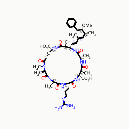 C=C1C(=O)N[C@H](C)C(=O)N[C@@H](CCCN=C(N)N)C(=O)N[C@@H](C(=O)O)[C@H](C)C(=O)N[C@@H](C)C(=O)N[C@@H](/C=C/C(C)=C/[C@H](C)[C@H](Cc2ccccc2)OC)[C@H](C)C(=O)N[C@@H](C(=O)O)CCC(=O)N1C